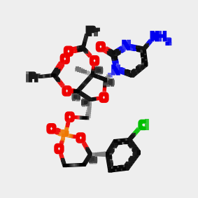 CC(C)C(=O)O[C@@H]1[C@@H](COP2(=O)OCC[C@@H](c3cccc(Cl)c3)O2)O[C@@H](n2ccc(N)nc2=O)[C@]1(C)OC(=O)C(C)C